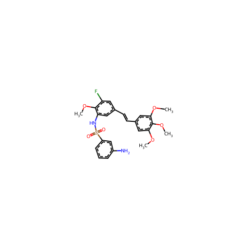 COc1cc(C=Cc2cc(F)c(OC)c(NS(=O)(=O)c3cccc(N)c3)c2)cc(OC)c1OC